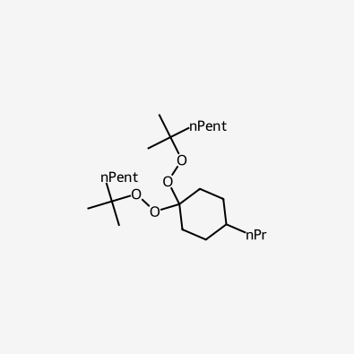 CCCCCC(C)(C)OOC1(OOC(C)(C)CCCCC)CCC(CCC)CC1